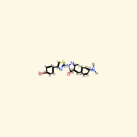 CC1=NN(c2nc(-c3ccc(Br)cc3)cs2)C(=O)/C1=C/c1ccc(N(C)C)cc1